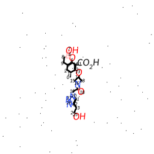 C[C@H]1CC2=C(OB(O)CC2)C(C(=O)O)=C1OC1CN(C(=O)Cn2cc(CCO)nn2)C1